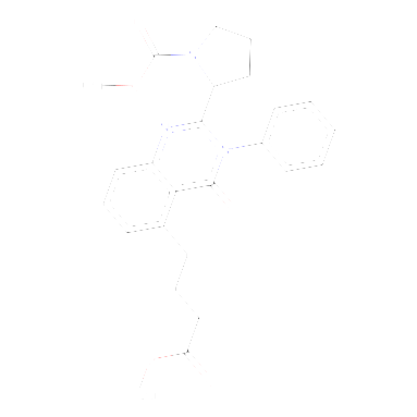 CC(C)(C)OC(=O)CCCc1cccc2nc(C3CCCN3C(=O)OC(C)(C)C)n(-c3ccccc3)c(=O)c12